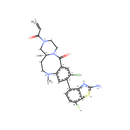 C=CC(=O)N1CCN2C(=O)c3cc(Cl)c(-c4ccc(F)c5sc(N)nc45)cc3N(C)CC[C@H]2C1